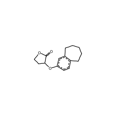 O=C1OCCC1Oc1ccc2c(c1)CCCCC2